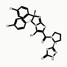 CC(C)C1=C(C(=O)N2CCC[C@H]2c2n[nH]c(=O)o2)SC2=N[C@@](C)(c3ccc(Cl)cc3)[C@@H](c3ccc(Cl)cc3)N21